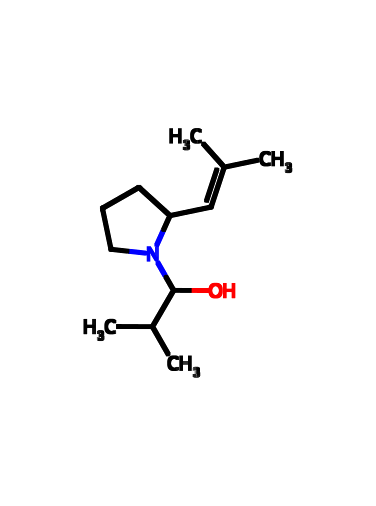 CC(C)=CC1CCCN1C(O)C(C)C